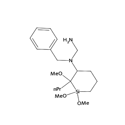 CCCC1(OC)C(N(CN)Cc2ccccc2)CCC[Si]1(OC)OC